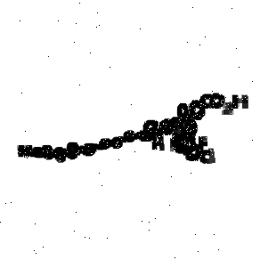 COCCOCCOCCOCCOCCOCCOCCOC(=O)Nc1ccc(C[C@H](NC(=O)/C=C/c2c(-n3cnnn3)ccc(Cl)c2F)C(=O)Nc2ccc(C(=O)O)cc2)cc1